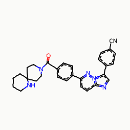 N#Cc1ccc(-c2cnc3ccc(-c4ccc(C(=O)N5CCC6(CCCCN6)CC5)cc4)nn23)cc1